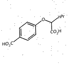 CCCC(Oc1ccc(C(=O)O)cc1)C(=O)O